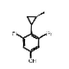 CC(C)c1cc(O)cc(Cl)c1[C@H]1C[C@H]1C